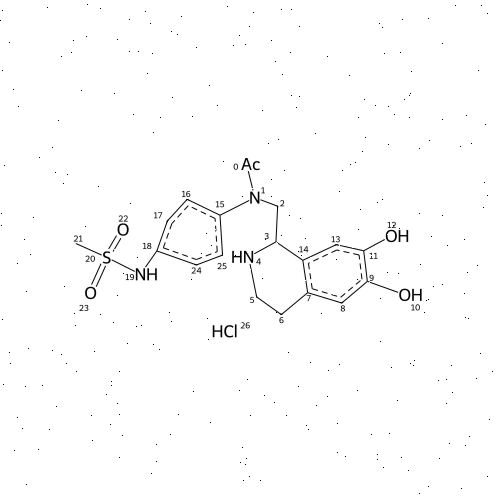 CC(=O)N(CC1NCCc2cc(O)c(O)cc21)c1ccc(NS(C)(=O)=O)cc1.Cl